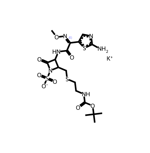 CO/N=C(\C(=O)NC1C(=O)N(S(=O)(=O)[O-])C1CSCCNC(=O)OC(C)(C)C)c1cnc(N)s1.[K+]